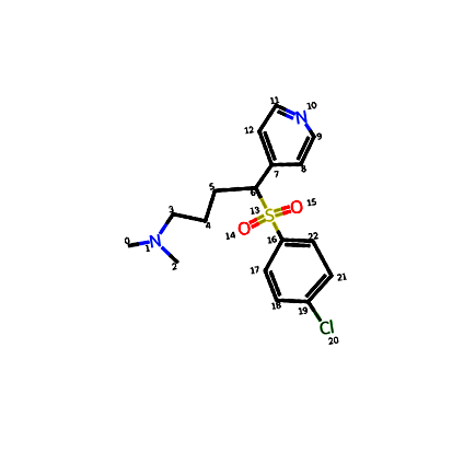 CN(C)CCCC(c1ccncc1)S(=O)(=O)c1ccc(Cl)cc1